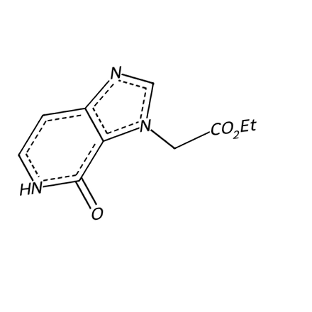 CCOC(=O)Cn1cnc2cc[nH]c(=O)c21